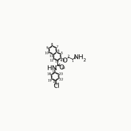 NCCOc1cc2ccccc2cc1C(=O)Nc1ccc(Cl)cc1